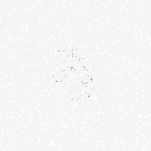 O=C1Nc2ccccc2C(c2ccccc2)=NC1Nc1nnc(-c2ccccc2N2CCCC2)o1